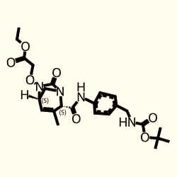 CCOC(=O)CON1C(=O)N2C[C@@H]1C=C(C)[C@H]2C(=O)Nc1ccc(CNC(=O)OC(C)(C)C)cc1